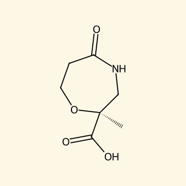 C[C@@]1(C(=O)O)CNC(=O)CCO1